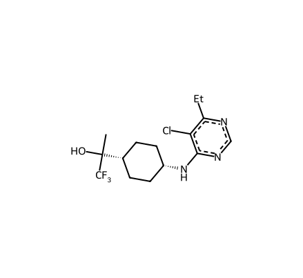 CCc1ncnc(N[C@H]2CC[C@@H](C(C)(O)C(F)(F)F)CC2)c1Cl